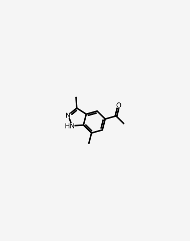 CC(=O)c1cc(C)c2[nH]nc(C)c2c1